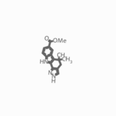 COC(=O)c1ccc2[nH]c3c(c2c1)C(C)(C)Cc1c[nH]nc1-3